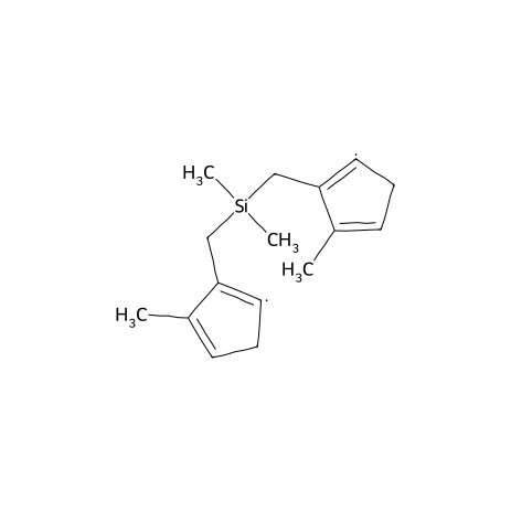 CC1=CC[C]=C1C[Si](C)(C)CC1=[C]CC=C1C